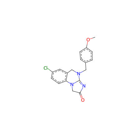 COc1ccc(CN2Cc3cc(Cl)ccc3N3CC(=O)N=C23)cc1